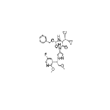 COCC(c1cc(F)cnc1OC)n1cc(NC(=O)C(NC(=O)OCc2ccccc2)C(C2CC2)C2CC2)cn1